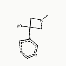 CN1CC(O)(c2cccnc2)C1